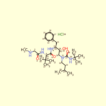 CNCC(=O)N[C@H](C(=O)N[C@@H](Cc1ccccc1)[C@H](O)CN(CCC(C)C)C(=O)NC(C)(C)C)C(C)(C)C.Cl